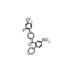 O=C(c1cc([N+](=O)[O-])ccc1N1CCOCC1)N1CCN(c2ccc(C(F)(F)F)cc2F)CC1